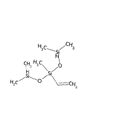 C=C[Si](C)(O[SiH](C)C)O[SiH](C)C